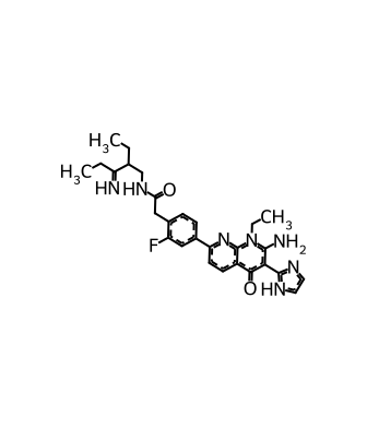 CCC(=N)C(CC)CNC(=O)Cc1ccc(-c2ccc3c(=O)c(-c4ncc[nH]4)c(N)n(CC)c3n2)cc1F